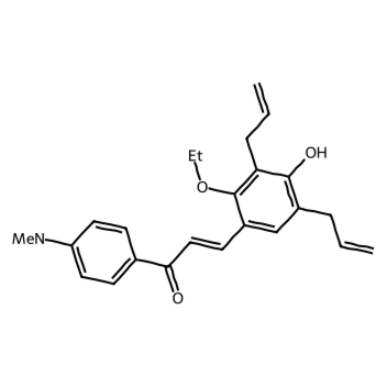 C=CCc1cc(/C=C/C(=O)c2ccc(NC)cc2)c(OCC)c(CC=C)c1O